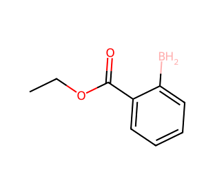 Bc1ccccc1C(=O)OCC